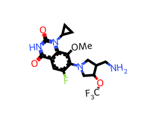 COc1c(N2CC(CN)C(OC(F)(F)F)C2)c(F)cc2c(=O)[nH]c(=O)n(C3CC3)c12